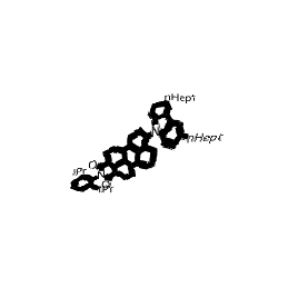 CCCCCCCc1ccc2c(c1)c1cc(CCCCCCC)ccc1n2-c1ccc2c3ccc4c5c(ccc(c6cccc1c62)c53)C(=O)N(c1c(C(C)C)cccc1C(C)C)C4=O